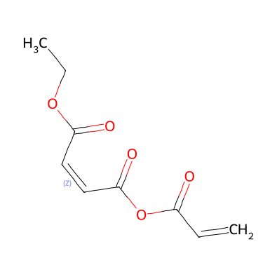 C=CC(=O)OC(=O)/C=C\C(=O)OCC